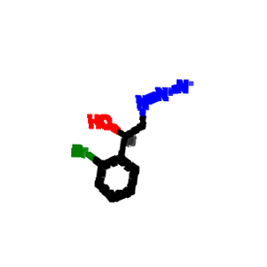 [N-]=[N+]=NC[C@H](O)c1ccccc1Br